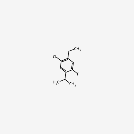 CCc1cc(F)c(C(C)C)cc1Cl